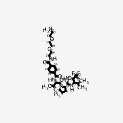 CC(C)C(NC(=O)[C@@H]1CCCN1C(=O)[C@@H](NC(=O)c1ccc(C(=O)NCCOCCOCCN)cc1)C(C)C)C(O)C(F)(F)F